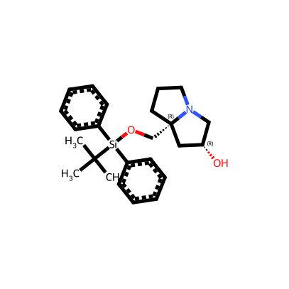 CC(C)(C)[Si](OC[C@]12CCCN1C[C@H](O)C2)(c1ccccc1)c1ccccc1